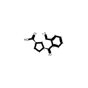 O=C(O)[C@@H]1CC[C@H](C(=O)c2ccccc2C=S)C1